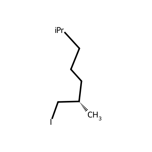 CC(C)CCC[C@H](C)CI